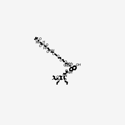 CCCO[C@H](CC(C(C)C)N(CCC)C(=O)C[C@@H](C)CC)c1nc(C(=O)N[C@H]2Cc3ccc(O)cc3[C@H](C(=O)NNC(=O)OCCOCCOCCOCCNC(=O)CNC(=O)CNC(=O)CNC(=O)OC(C)(C)C)C2)cs1